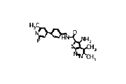 Cc1cc(-c2ccc(CNC(=O)c3sc4nnc(C)c(C)c4c3N)cc2)cc(F)n1